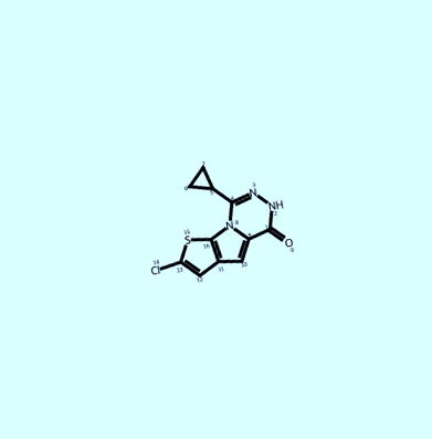 O=c1[nH]nc(C2CC2)n2c1cc1cc(Cl)sc12